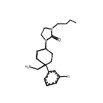 CCCCN1CCN(C2CCC(CN)(c3cccc(Cl)c3)CC2)C1=O